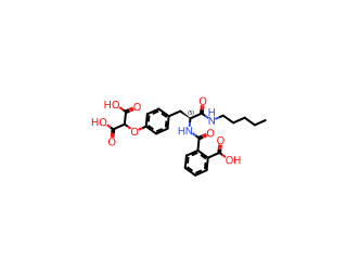 CCCCCNC(=O)[C@H](Cc1ccc(OC(C(=O)O)C(=O)O)cc1)NC(=O)c1ccccc1C(=O)O